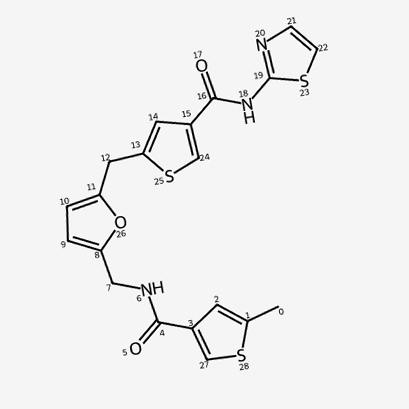 Cc1cc(C(=O)NCc2ccc(Cc3cc(C(=O)Nc4nccs4)cs3)o2)cs1